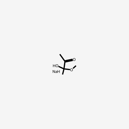 COC(C)(O)C(C)=O.[NaH]